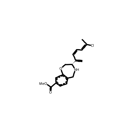 C=C(/C=C\C=C(/C)Cl)[C@H]1COc2cc(C(=O)OC)ccc2CN1